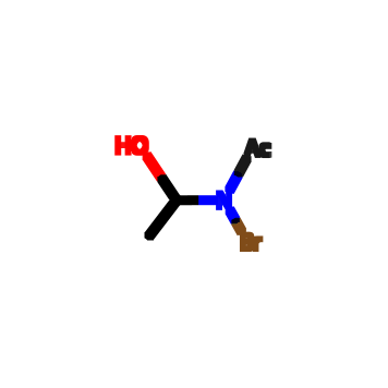 CC(=O)N(Br)C(C)O